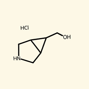 Cl.OCC1C2CNCC12